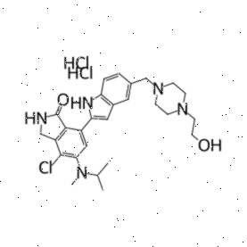 CC(C)N(C)c1cc(-c2cc3cc(CN4CCN(CCO)CC4)ccc3[nH]2)c2c(c1Cl)CNC2=O.Cl.Cl